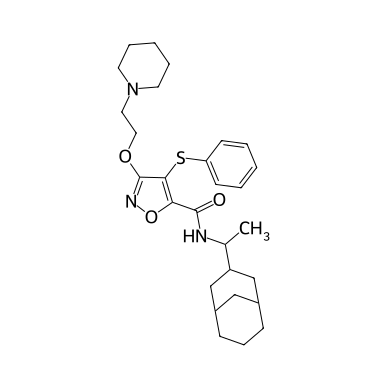 CC(NC(=O)c1onc(OCCN2CCCCC2)c1Sc1ccccc1)C1CC2CCCC(C2)C1